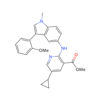 COC(=O)c1cc(C2CC2)cnc1Nc1ccc2c(c1)c(-c1ccccc1OC)cn2C